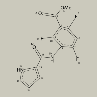 COC(=O)c1c(F)cc(F)c(NC(=O)c2ccc[nH]2)c1F